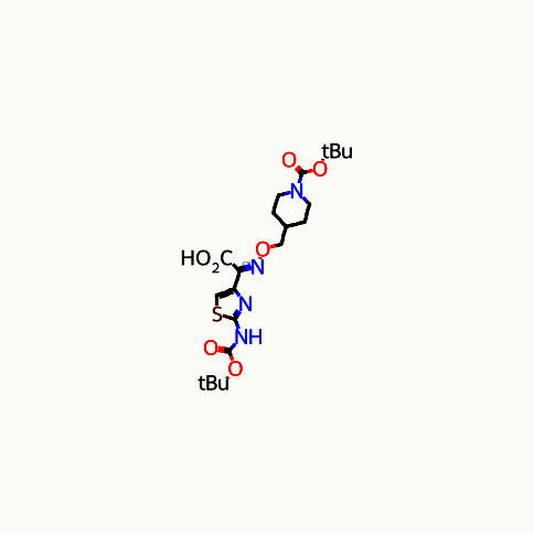 CC(C)(C)OC(=O)Nc1nc(/C(=N/OCC2CCN(C(=O)OC(C)(C)C)CC2)C(=O)O)cs1